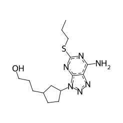 CCCSc1nc(N)c2nnn(C3CCC(CCCO)C3)c2n1